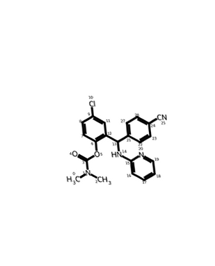 CN(C)C(=O)Oc1ccc(Cl)cc1C(Nc1ccccn1)c1ccc(C#N)cc1